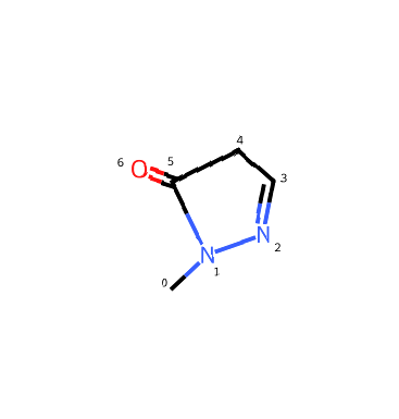 CN1N=CCC1=O